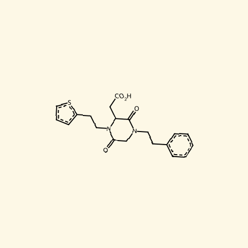 O=C(O)CC1C(=O)N(CCc2ccccc2)CC(=O)N1CCc1cccs1